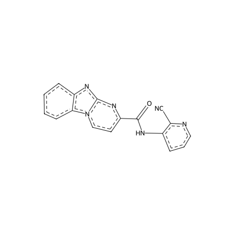 N#Cc1ncccc1NC(=O)c1ccn2c(n1)nc1ccccc12